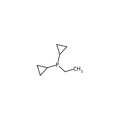 CCP(C1CC1)C1CC1